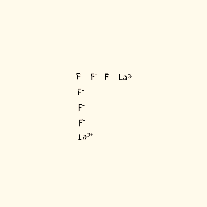 [F-].[F-].[F-].[F-].[F-].[F-].[La+3].[La+3]